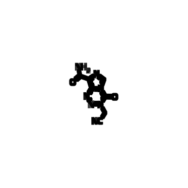 N#CCn1nnc2c(C(N)=O)ncn2c1=O